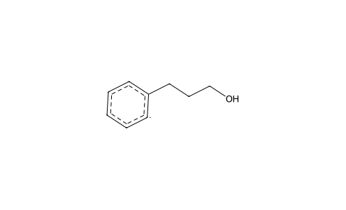 OCCCc1[c]cccc1